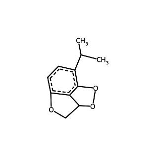 CC(C)c1ccc2c3c1OOC3CO2